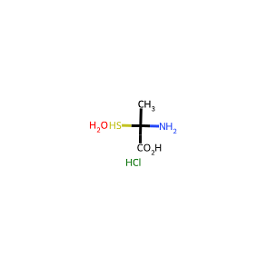 CC(N)(S)C(=O)O.Cl.O